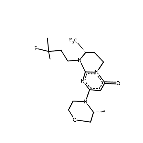 C[C@@H]1COCCN1c1cc(=O)n2c(n1)N(CCC(C)(C)F)[C@H](C(F)(F)F)CC2